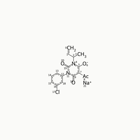 C=CC(C)n1c([O-])c(C(C)=O)c(=O)n(-c2cccc(Cl)c2)c1=O.[Na+]